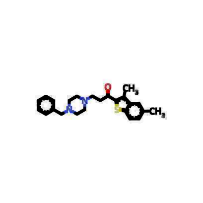 Cc1ccc2sc(C(=O)CCN3CCN(Cc4ccccc4)CC3)c(C)c2c1